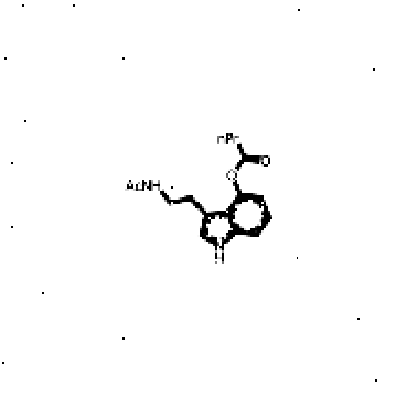 CCCC(=O)Oc1cccc2[nH]cc(CCNC(C)=O)c12